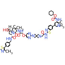 Cc1ncc(-c2ccc3nc(NC(=O)CN4CC5(C4)CN(c4ncc(OCC(=O)N[C@H](C(=O)N6C[C@H](O)C[C@H]6C(=O)NCc6ccc(-c7scnc7C)cc6)C(C)(C)C)cn4)C5)sc3c2)cc1NC(=O)OC1CCCCC1